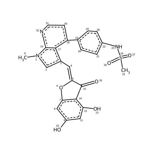 Cn1cc(C=C2Oc3cc(O)cc(O)c3C2=O)c2c(-c3ccc(NS(C)(=O)=O)cc3)ccnc21